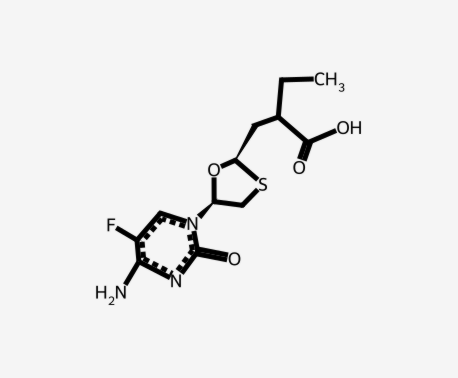 CCC(C[C@@H]1O[C@H](n2cc(F)c(N)nc2=O)CS1)C(=O)O